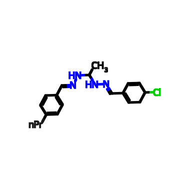 CCCc1ccc(/C=N/NC(C)N/N=C/C2=CCC(Cl)C=C2)cc1